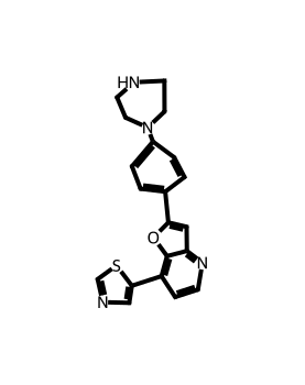 c1cc(-c2cncs2)c2oc(-c3ccc(N4CCNCC4)cc3)cc2n1